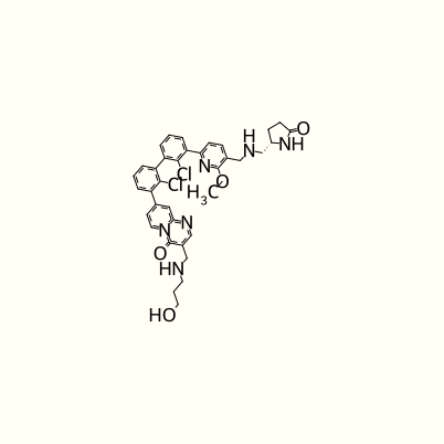 COc1nc(-c2cccc(-c3cccc(-c4ccn5c(=O)c(CNCCCO)cnc5c4)c3Cl)c2Cl)ccc1CNC[C@@H]1CCC(=O)N1